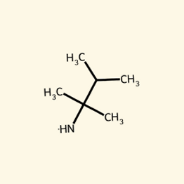 CC(C)C(C)(C)[NH]